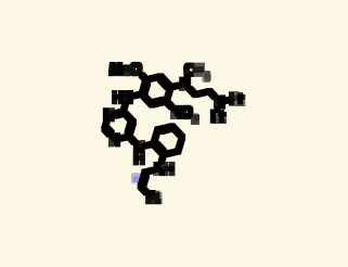 CC/C=C\NC1=C(Nc2cc(Nc3cc([N+](=O)[O-])c(N(C)CCN(CC)CC)cc3OC)ncn2)C=CCC1